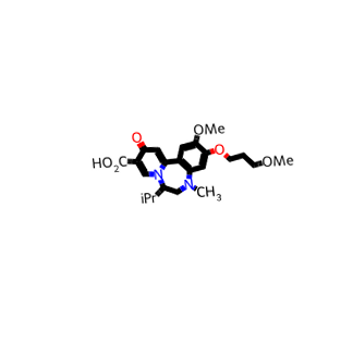 COCCCOc1cc2c(cc1OC)-c1cc(=O)c(C(=O)O)cn1C(C(C)C)CN2C